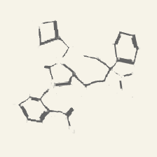 CN(C)[C@]1(c2ccccc2)CC[C@]2(CC1)CN(c1ccccc1C(N)=O)C(=O)N2CC1COC1